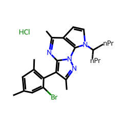 CCCC(CCC)n1ccc2c(C)nc3c(-c4c(C)cc(C)cc4Br)c(C)nn3c21.Cl